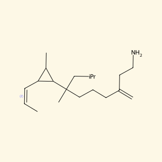 C=C(CCN)CCCC(C)(CC(C)C)C1C(C)C1/C=C\C